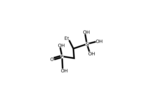 CCC(CP(=O)(O)O)[Si](O)(O)O